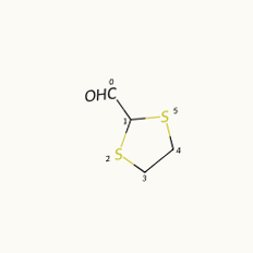 O=CC1SCCS1